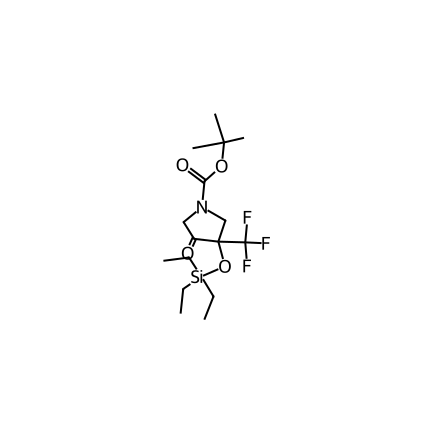 CC[Si](CC)(CC)OC1(C(F)(F)F)CN(C(=O)OC(C)(C)C)CC1=O